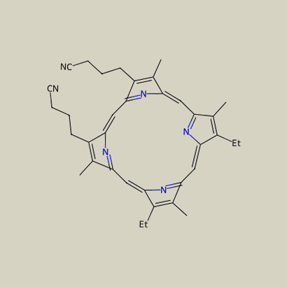 CCC1=C(C)C2=NC1=CC1=NC(=CC3=NC(=CC4=NC(=C2)C(C)=C4CCCC#N)C(CCCC#N)=C3C)C(CC)=C1C